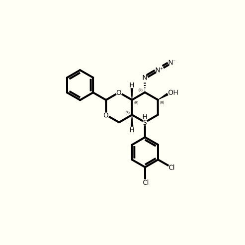 [N-]=[N+]=N[C@H]1[C@H]2OC(c3ccccc3)OC[C@H]2[SH](c2ccc(Cl)c(Cl)c2)C[C@@H]1O